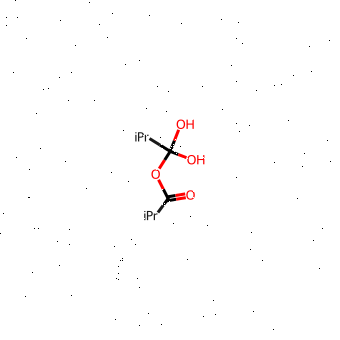 CC(C)C(=O)OC(O)(O)C(C)C